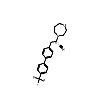 N#C[C@H](Cc1ccc(-c2ccc(C(F)(F)F)cc2)cc1)N1CCCOCC1